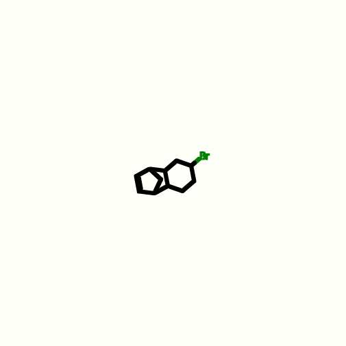 BrC1CCC2C3C=CC(C3)C2C1